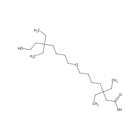 CCC(CC)(CCO)CCCCOCCCCC(CC)(CC)CC(=O)O